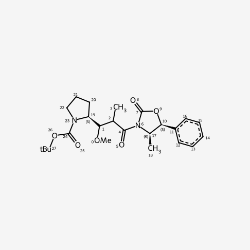 COC(C(C)C(=O)N1C(=O)O[C@@H](c2ccccc2)[C@H]1C)[C@@H]1CCCN1C(=O)OC(C)(C)C